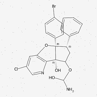 NC(O)OC1C[C@@H](c2ccccc2)[C@]2(c3ccc(Br)cc3)Oc3cc(Cl)cnc3[C@]12O